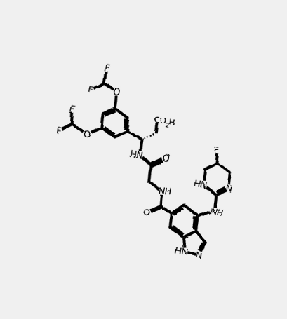 O=C(O)C[C@H](NC(=O)CNC(=O)c1cc(NC2=NCC(F)CN2)c2cn[nH]c2c1)c1cc(OC(F)F)cc(OC(F)F)c1